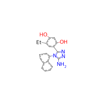 CCc1cc(-c2nnc(N)n2-c2cccc3ccccc23)c(O)cc1O